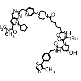 Cc1ncsc1-c1ccc(CNC(=O)[C@@H]2C[C@@H](O)CN2C(=O)[C@@H](NC(=O)CCCCC(=O)N2CCN(c3ccc(Cc4ncc5cc(C(=O)N(C)C)n(C6CCCC6)c5n4)nc3)CC2)C(C)(C)C)cc1